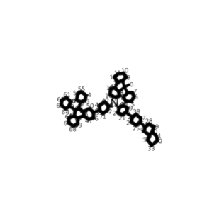 CC1(c2ccccc2)c2ccccc2-c2ccc(N(c3ccc(-c4ccc(-c5ccc6ccccc6c5)cc4)cc3)c3ccc(-c4ccc5c(c4)c(-c4ccccc4)c(-c4ccccc4)c4ccccc45)cc3)cc21